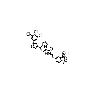 CC1(C)OB(O)c2cc(CCNC(=O)c3ccc(C4=NOC(C)(c5cc(Cl)c(Cl)c(Cl)c5)C4)c4cccn34)ccc21